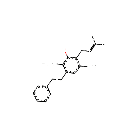 COc1cc(CCc2ccccc2)c(C(=O)O)c(O)c1CC=C(C)C